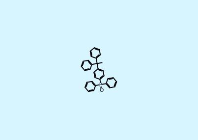 CC(c1ccccc1)(c1ccccc1)c1ccc(P(=O)(c2ccccc2)c2ccccc2)cc1